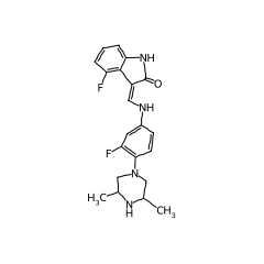 CC1CN(c2ccc(NC=C3C(=O)Nc4cccc(F)c43)cc2F)CC(C)N1